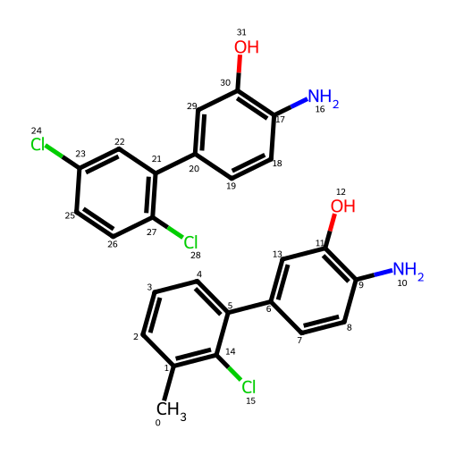 Cc1cccc(-c2ccc(N)c(O)c2)c1Cl.Nc1ccc(-c2cc(Cl)ccc2Cl)cc1O